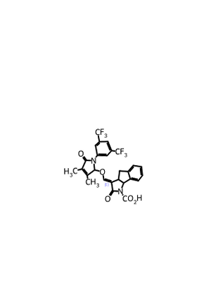 CC1=C(C)C(O/C=C2/C(=O)N(C(=O)O)C3c4ccccc4CC23)N(c2cc(C(F)(F)F)cc(C(F)(F)F)c2)C1=O